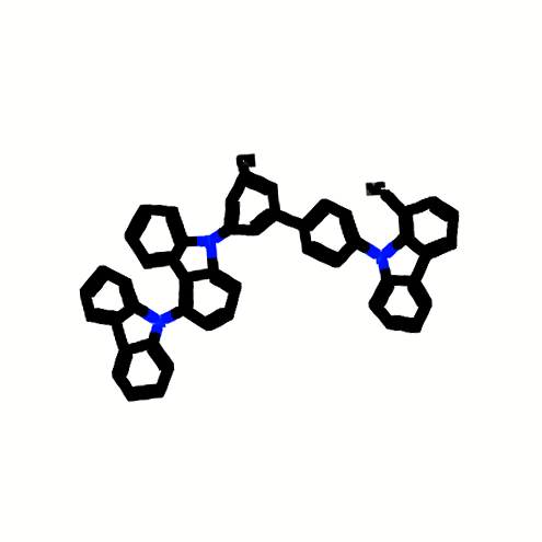 N#Cc1cc(-c2ccc(-n3c4ccccc4c4cccc(C#N)c43)cc2)cc(-n2c3ccccc3c3c(-n4c5ccccc5c5ccccc54)cccc32)c1